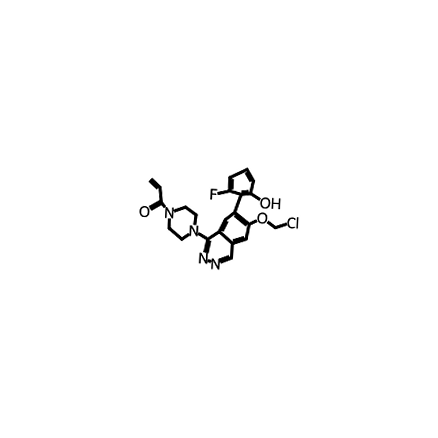 C=CC(=O)N1CCN(c2nncc3cc(OCCl)c(-c4c(O)cccc4F)cc23)CC1